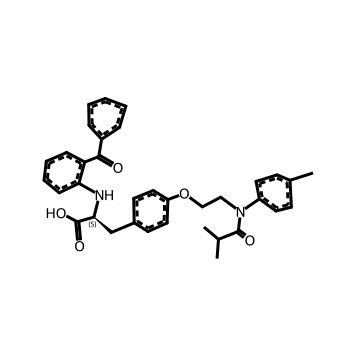 Cc1ccc(N(CCOc2ccc(C[C@H](Nc3ccccc3C(=O)c3ccccc3)C(=O)O)cc2)C(=O)C(C)C)cc1